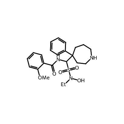 CCN(O)S(=O)(=O)C(NC(=O)c1ccccc1OC)C1(c2ccccc2)CCCNCC1